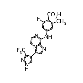 Cc1cc(Nc2nccn3c(-c4c[nH]nc4C(F)(F)F)cnc23)cc(F)c1C(=O)O